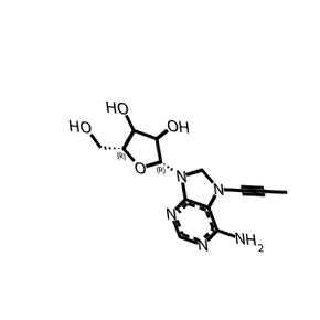 CC#CN1CN([C@@H]2O[C@H](CO)C(O)C2O)c2ncnc(N)c21